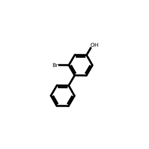 Oc1ccc(-c2ccccc2)c(Br)c1